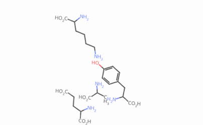 CC(N)C(=O)O.NC(CCC(=O)O)C(=O)O.NC(Cc1ccc(O)cc1)C(=O)O.NCCCCC(N)C(=O)O